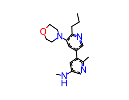 CCCc1ncc(-c2cc(NC)cnc2C)cc1N1CCOCC1